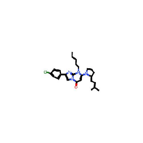 CCCCCn1c(N2CCCC2CCC(C)C)cc(=O)n2cc(-c3ccc(Cl)cc3)nc12